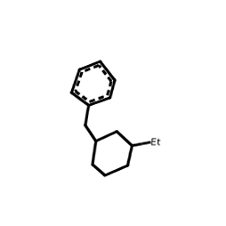 CCC1CCCC(Cc2ccccc2)C1